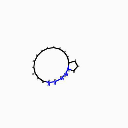 C1CCCCCCC2CCCN2NNNNCCCCC1